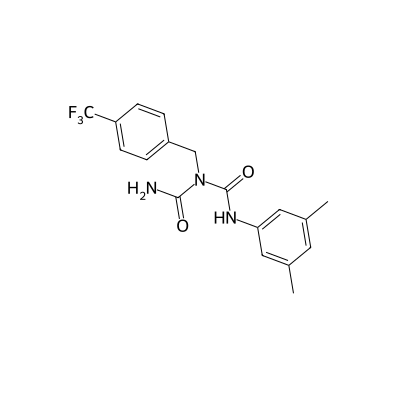 Cc1cc(C)cc(NC(=O)N(Cc2ccc(C(F)(F)F)cc2)C(N)=O)c1